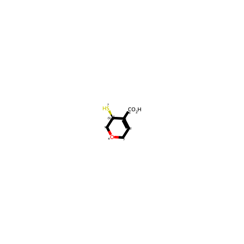 O=C(O)C1=CCOC[C@H]1S